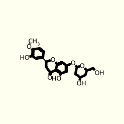 COc1ccc([C@@H]2CC(=O)c3c(O)cc(OC4CC(O)CC(CO)O4)cc3O2)cc1O